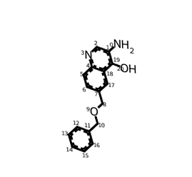 Nc1cnc2ccc(COCc3ccccc3)cc2c1O